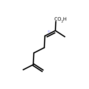 C=C(C)CC/C=C(\C)C(=O)O